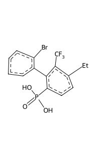 CCc1ccc(P(=O)(O)O)c(-c2ccccc2Br)c1C(F)(F)F